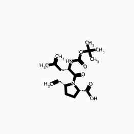 C=C[C@H]1CC[C@@H](C(=O)O)N1C(=O)[C@H](CC(=C)C)NC(=O)OC(C)(C)C